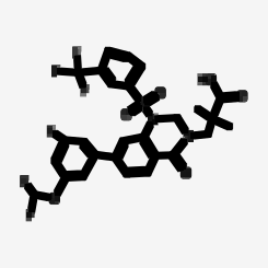 CC(C)(CN1CN(S(=O)(=O)c2cccc(C(F)(F)F)c2)c2cc(-c3cc(F)cc(OC(F)F)c3)ccc2C1=O)C(=O)O